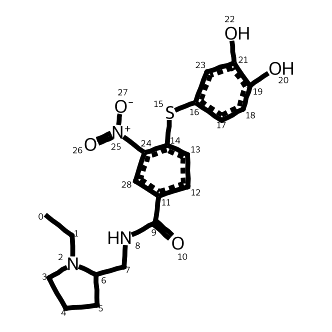 CCN1CCCC1CNC(=O)c1ccc(Sc2ccc(O)c(O)c2)c([N+](=O)[O-])c1